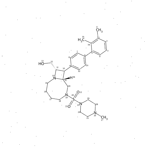 Cc1cccc(-c2ccc(C3[C@@H](CO)N4CCCCN(S(=O)(=O)N5CCN(C)CC5)C[C@@H]34)cc2)c1C